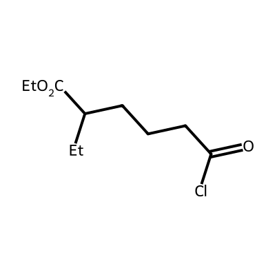 CCOC(=O)C(CC)CCCC(=O)Cl